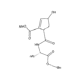 CCC[C@H](NC(=O)C1CC(O)C=C1C(=O)OC)C(=O)OC(C)(C)C